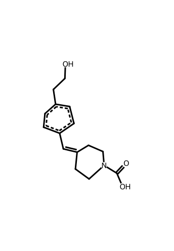 O=C(O)N1CCC(=Cc2ccc(CCO)cc2)CC1